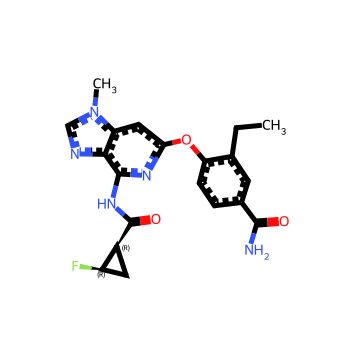 CCc1cc(C(N)=O)ccc1Oc1cc2c(ncn2C)c(NC(=O)[C@H]2C[C@H]2F)n1